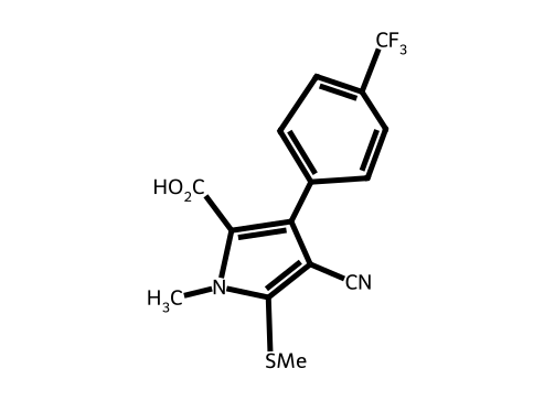 CSc1c(C#N)c(-c2ccc(C(F)(F)F)cc2)c(C(=O)O)n1C